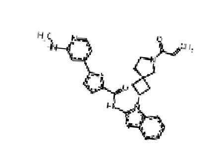 C=CC(=O)N1CC[C@]2(C1)C[C@H](n1c(NC(=O)c3ccc(-c4ccnc(NC)c4)s3)nc3ccccc31)C2